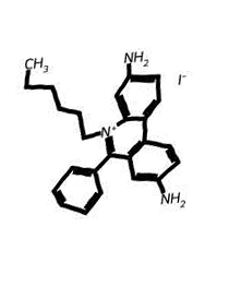 CCCCCC[n+]1c(-c2ccccc2)c2cc(N)ccc2c2ccc(N)cc21.[I-]